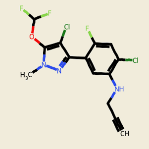 C#CCNc1cc(-c2nn(C)c(OC(F)F)c2Cl)c(F)cc1Cl